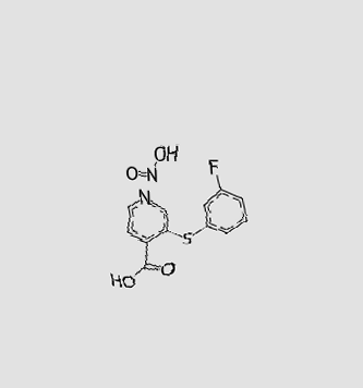 O=C(O)c1ccncc1Sc1cccc(F)c1.O=NO